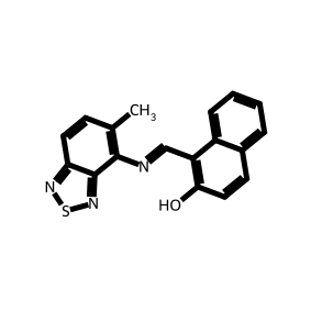 Cc1ccc2nsnc2c1/N=C/c1c(O)ccc2ccccc12